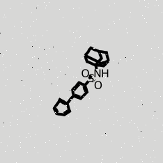 O=S(=O)(NC12CC3CC(CC(C3)C1)C2)c1ccc(-c2ccccc2)cc1